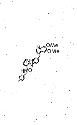 COc1cc2nccc(Cc3ccc(Nc4ncccc4C(=O)NCc4ccc(C)cc4)cc3)c2cc1OC